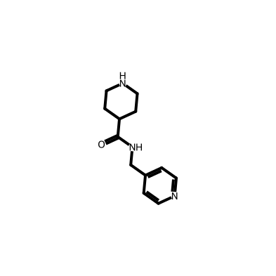 O=C(NCc1ccncc1)C1CCNCC1